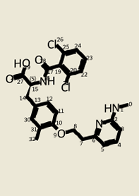 CNc1cccc(CCOc2ccc(C[C@H](NC(=O)c3c(Cl)cccc3Cl)C(=O)O)cc2C)n1